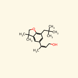 C/C(=C/CO)c1cc(CC(C)(C)C)c2c(c1)C(C)(C)CO2